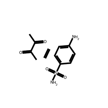 C=C.CC(=O)C(C)=O.Nc1ccc(S(N)(=O)=O)cc1